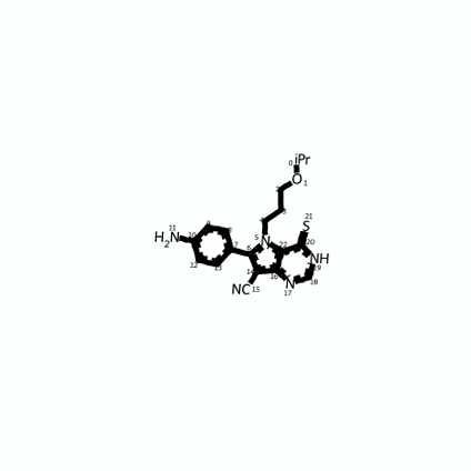 CC(C)OCCCn1c(-c2ccc(N)cc2)c(C#N)c2nc[nH]c(=S)c21